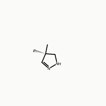 CC(C)[C@@]1(C)C=NNC1